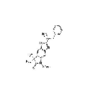 CCCCCN1C(=O)C(C)(C)c2cc3[nH]c([C@H](N)Cc4ccccc4)nc3cc21